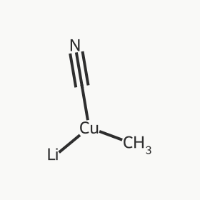 [Li][Cu]([CH3])[C]#N